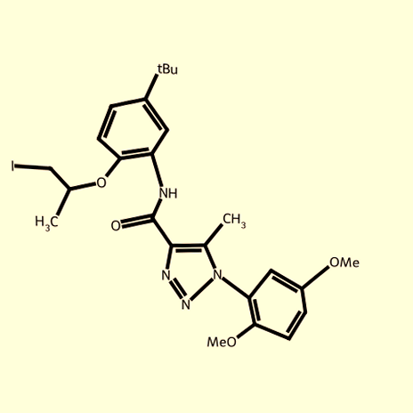 COc1ccc(OC)c(-n2nnc(C(=O)Nc3cc(C(C)(C)C)ccc3OC(C)CI)c2C)c1